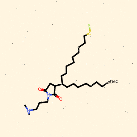 CCCCCCCCCCCCCCCCCC(CCCCCCCCCSF)C1CC(=O)N(CCCN(C)C)C1=O